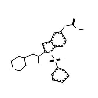 CC(C)(C)OC(=O)Nc1cnc2c(c1)cc(C(O)CC1CCOCC1)n2S(=O)(=O)c1ccccc1